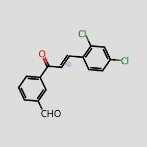 O=Cc1cccc(C(=O)/C=C/c2ccc(Cl)cc2Cl)c1